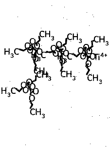 CCCCOCC(=O)C(OCCCC)(OCCCC)C(=O)[O-].CCCCOCC(=O)C(OCCCC)(OCCCC)C(=O)[O-].CCCCOCC(=O)C(OCCCC)(OCCCC)C(=O)[O-].CCCCOCC(=O)C(OCCCC)(OCCCC)C(=O)[O-].[Ti+4]